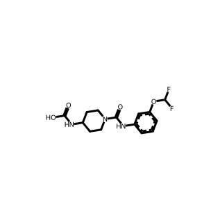 O=C(O)NC1CCN(C(=O)Nc2cccc(OC(F)F)c2)CC1